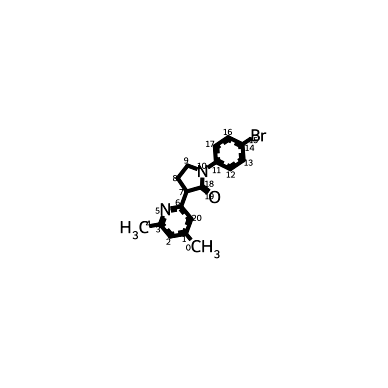 Cc1cc(C)nc(C2CCN(c3ccc(Br)cc3)C2=O)c1